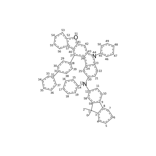 CC1(C)c2ccccc2-c2ccc(N(c3ccccc3)c3ccc4c(c3)c3c(-c5ccc(-c6ccccc6)cc5)c5c(cc3n4-c3ccccc3)oc3ccccc35)cc21